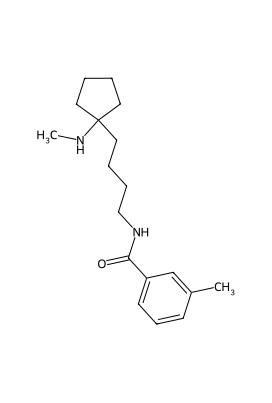 CNC1(CCCCNC(=O)c2cccc(C)c2)CCCC1